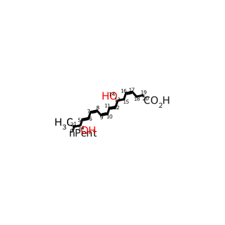 CCCCCC(C)C(O)/C=C/C=C\C=C/C=C/C(O)C/C=C\CCC(=O)O